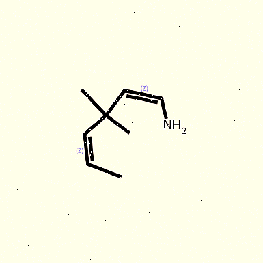 C/C=C\C(C)(C)/C=C\N